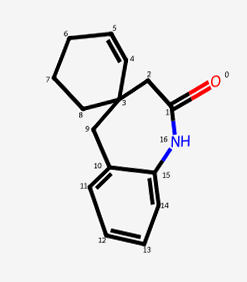 O=C1CC2(C=CCCC2)Cc2ccccc2N1